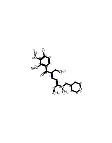 C=N/C(=C\C=C(/CC=O)C(=O)c1ccc(Cl)c(OCC)c1NC)N(C)CC1CCOCC1